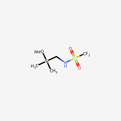 CO[Si](C)(C)CNS(=O)(=O)C(F)(F)F